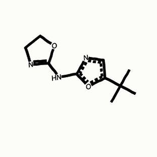 CC(C)(C)c1cnc(NC2=NCCO2)o1